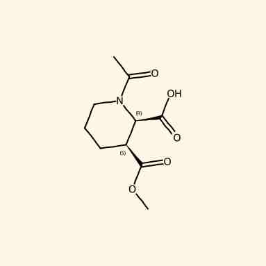 COC(=O)[C@H]1CCCN(C(C)=O)[C@H]1C(=O)O